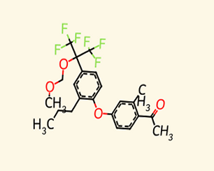 CCCc1cc(C(OCOC)(C(F)(F)F)C(F)(F)F)ccc1Oc1ccc(C(C)=O)c(C)c1